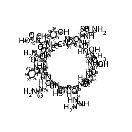 C[C@H](O)[C@@H]1NC(=O)[C@@H](NC(=O)[C@@H](CS)NC(=O)CN)Cc2cn(nn2)CCC[C@H](C(=O)N[C@H](Cc2ccc(O)cc2)C(=O)N(C)CC(=O)O)NC(=O)[C@@H](CCC(N)=O)NC(=O)[C@H](Cc2c[nH]c3ccccc23)NC(=O)[C@@H](CCCNC(N)=O)NC(=O)[C@H](CS)NC(=O)[C@@H](CCCNC(=N)N)NC(=O)[C@@H]2CCCN2C(=O)[C@@H](CC(=O)O)NC1=O